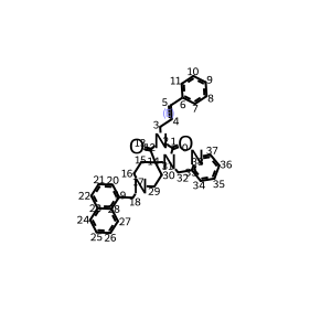 O=C1N(C/C=C/c2ccccc2)C(=O)C2(CCN(Cc3cccc4ccccc34)CC2)N1Cc1ccccn1